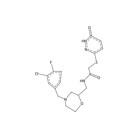 O=C(CSc1ccc(=O)[nH]n1)NCC1CN(Cc2ccc(F)c(Cl)c2)CCO1